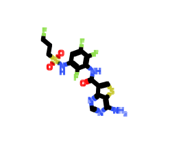 Nc1ncnc2c(C(=O)Nc3c(F)c(F)cc(NS(=O)(=O)CCCF)c3F)csc12